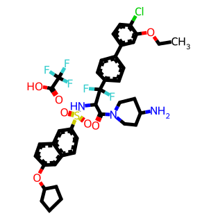 CCOc1cc(-c2ccc(C(F)(F)C(NS(=O)(=O)c3ccc4cc(OC5CCCC5)ccc4c3)C(=O)N3CCC(N)CC3)cc2)ccc1Cl.O=C(O)C(F)(F)F